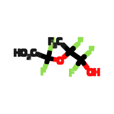 O=C(O)C(F)(F)OC(F)(C(O)(F)F)C(F)(F)F